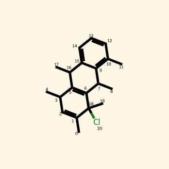 CC1=CC(C)C2=C(C(C)c3c(C)cccc3C2C)C1(C)Cl